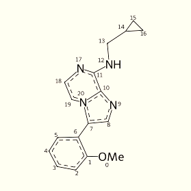 COc1ccccc1-c1cnc2c(NCC3CC3)nccn12